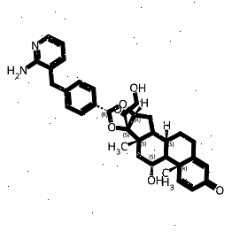 C[C@]12C=CC(=O)C=C1CC[C@@H]1C2[C@@H](O)C[C@@]2(C)C1C[C@H]1O[C@@H](c3ccc(Cc4cccnc4N)cc3)O[C@]12C(=O)CO